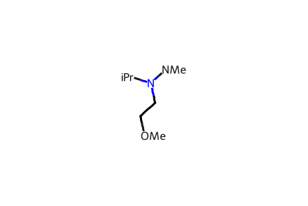 CNN(CCOC)C(C)C